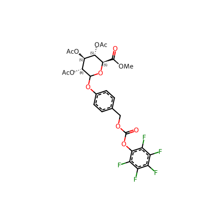 COC(=O)[C@H]1OC(Oc2ccc(COC(=O)Oc3c(F)c(F)c(F)c(F)c3F)cc2)[C@H](OC(C)=O)[C@@H](OC(C)=O)[C@@H]1OC(C)=O